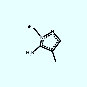 Bc1c(C)cnn1C(C)C